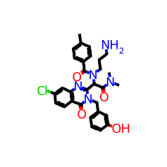 Cc1ccc(C(=O)N(CCCN)C(C(=O)N(C)C)c2nc3cc(Cl)ccc3c(=O)n2Cc2cccc(O)c2)cc1